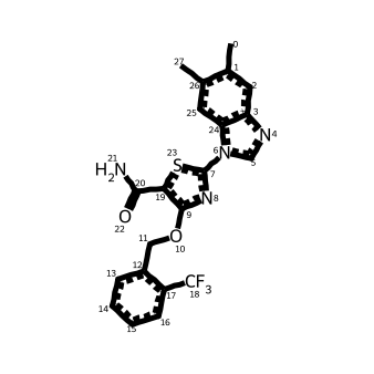 Cc1cc2ncn(-c3nc(OCc4ccccc4C(F)(F)F)c(C(N)=O)s3)c2cc1C